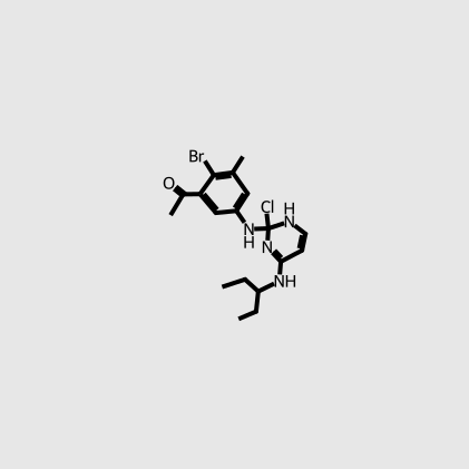 CCC(CC)NC1=NC(Cl)(Nc2cc(C)c(Br)c(C(C)=O)c2)NC=C1